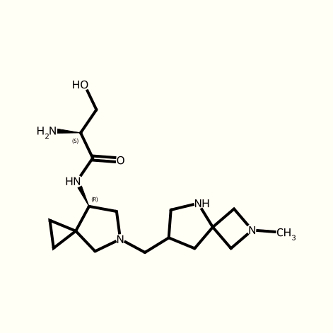 CN1CC2(CC(CN3C[C@H](NC(=O)[C@@H](N)CO)C4(CC4)C3)CN2)C1